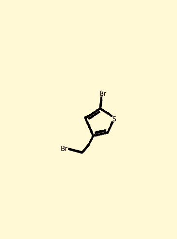 BrCc1csc(Br)c1